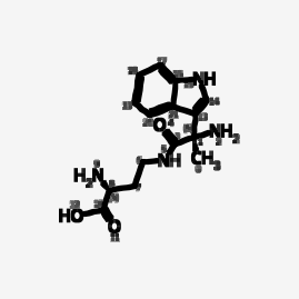 C[C@@](N)(C(=O)NCC[C@H](N)C(=O)O)c1c[nH]c2ccccc12